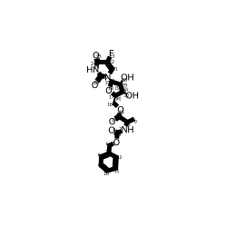 CC(NC(=O)OCc1ccccc1)C(=O)OC[C@H]1O[C@@H](n2cc(F)c(=O)[nH]c2=O)[C@@H](O)[C@@H]1O